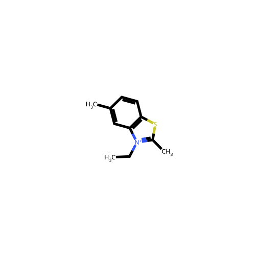 CC[n+]1c(C)sc2ccc(C)cc21